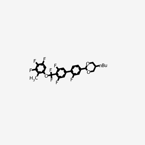 CCCCC1COC(c2ccc(-c3cc(F)c(C(F)(F)Oc4cc(F)c(F)c(F)c4C)c(F)c3)c(F)c2)OC1